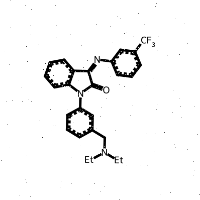 CCN(CC)Cc1cccc(N2C(=O)C(=Nc3cccc(C(F)(F)F)c3)c3ccccc32)c1